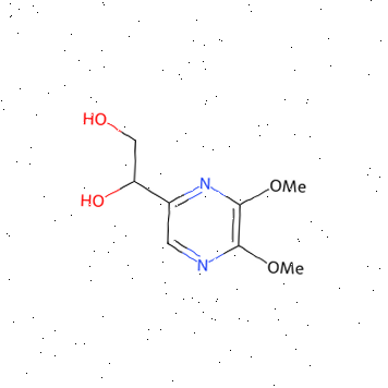 COc1ncc(C(O)CO)nc1OC